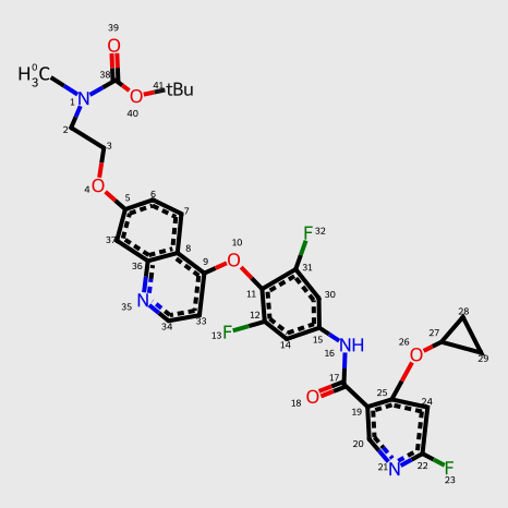 CN(CCOc1ccc2c(Oc3c(F)cc(NC(=O)c4cnc(F)cc4OC4CC4)cc3F)ccnc2c1)C(=O)OC(C)(C)C